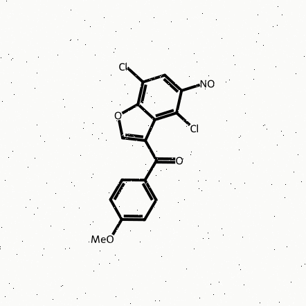 COc1ccc(C(=O)c2coc3c(Cl)cc(N=O)c(Cl)c23)cc1